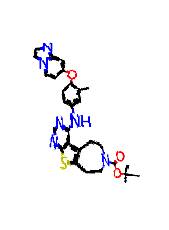 Cc1cc(Nc2ncnc3sc4c(c23)CCN(C(=O)OC(C)(C)C)CC4)ccc1Oc1ccn2ccnc2c1